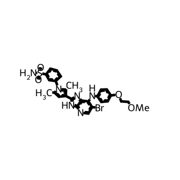 COCCOc1ccc(Nc2c(Br)cnc3[nH]c(-c4cc(C)n(-c5cccc(S(N)(=O)=O)c5)c4C)nc23)cc1